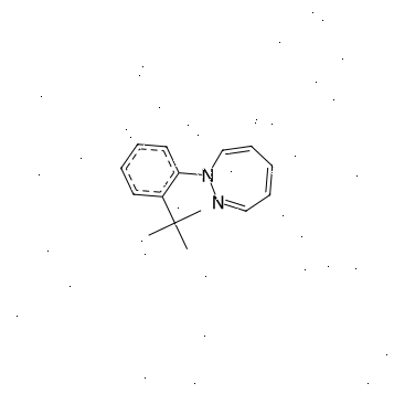 CC(C)(C)c1ccccc1N1C=CC=CC=N1